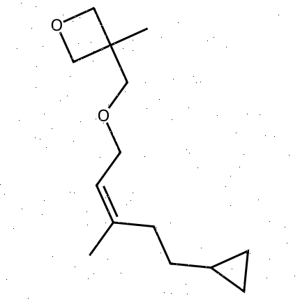 CC(=CCOCC1(C)COC1)CCC1CC1